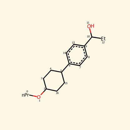 CCCOC1CCC(c2ccc(C(O)CC)cc2)CC1